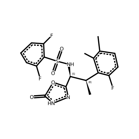 Cc1ccc(F)c([C@@H](C)[C@H](NS(=O)(=O)c2c(F)cccc2F)c2n[nH]c(=O)o2)c1C